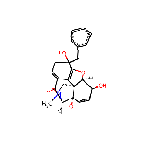 C[N+]1([O-])CC[C@]23C4=C5O[C@H]2[C@@H](O)C=C[C@@]3(O)[C@H]1C(=O)C4=CCC5(O)Cc1ccccc1